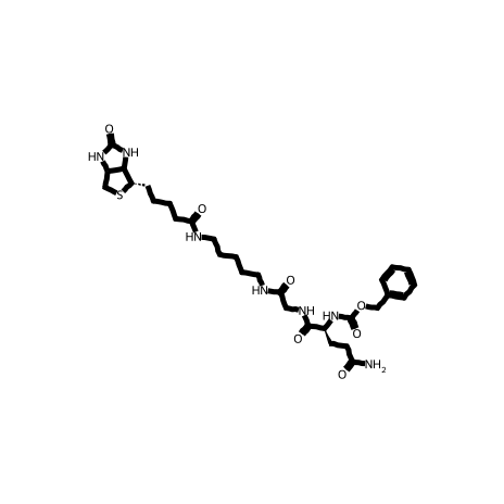 NC(=O)CC[C@H](NC(=O)OCc1ccccc1)C(=O)NCC(=O)NCCCCCNC(=O)CCCC[C@@H]1SCC2NC(=O)NC21